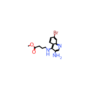 COC(=O)CCCNc1c(N)cnc2cc(Br)ccc12